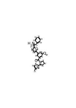 COc1cc(C(=O)N2CCC[C@@H]2c2nc(C)cs2)cc(-c2nnc([C@@](C)(N)Cc3ccccc3)o2)n1